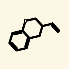 C=[C]C1COc2ccccc2C1